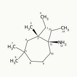 CC[C@@]1(C)CC(C)(C)CCC[C@@]1(N)CC